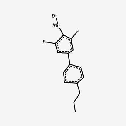 CCCc1ccc(-c2cc(F)[c]([Mg][Br])c(F)c2)cc1